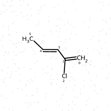 C=C(Cl)C=CC